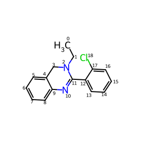 CCN1Cc2ccccc2N=C1c1ccccc1Cl